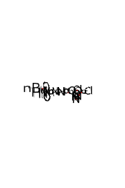 CCCCC1NC(=O)N(c2ccc(N3CCN(c4ccc(OC[C@@H]5CO[C@@](Cn6cncn6)(c6ccc(Cl)cc6Cl)O5)cc4)CC3)cc2)C1=O